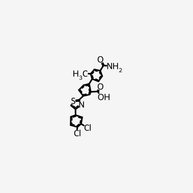 Cc1cc(C(N)=O)ccc1-c1ccc(-c2nc(-c3ccc(Cl)c(Cl)c3)cs2)cc1C(=O)O